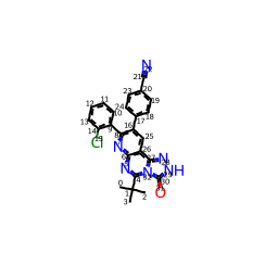 CC(C)(C)c1nc2nc(-c3ccccc3Cl)c(-c3ccc(C#N)cc3)cc2c2n[nH]c(=O)n12